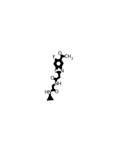 CC(=O)c1cc2nc(CC(=O)NCC(=O)NC3CC3)sc2cc1F